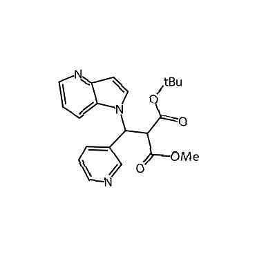 COC(=O)C(C(=O)OC(C)(C)C)C(c1cccnc1)n1ccc2ncccc21